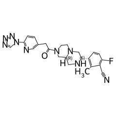 Cc1c([C@H]2CN3CCN(C(=O)Cc4ccc(-n5cnnn5)nc4)C[C@H]3CN2)ccc(F)c1C#N